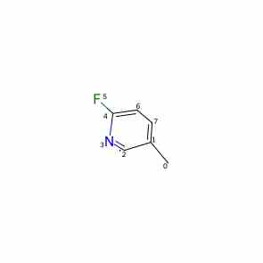 Cc1[c]nc(F)cc1